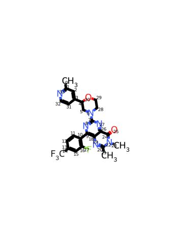 Cc1cc(C2CN(c3nc(-c4ccc(C(F)(F)F)cc4F)c4nc(C)n(C)c(=O)c4n3)CCO2)ccn1